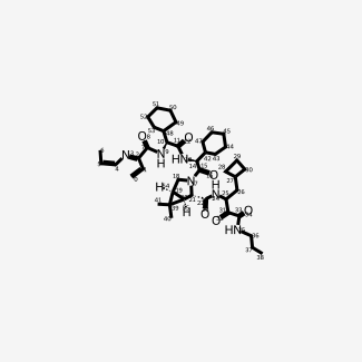 C=C/C(=N\C=C/C)C(=O)N[C@H](C(=O)N[C@H](C(=O)N1C[C@H]2[C@@H]([C@H]1C(=O)NC(CC1CCC1)C(=O)C(=O)NCCC)C2(C)C)C1CCCCC1)C1CCCCC1